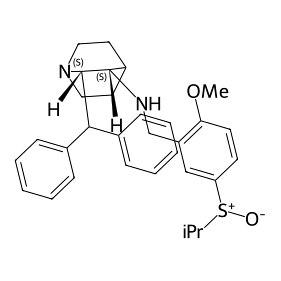 COc1ccc([S+]([O-])C(C)C)cc1CN[C@H]1C2CCN(CC2)[C@H]1C(c1ccccc1)c1ccccc1